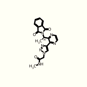 CNC(=O)Cn1cc(-c2nccnc2[C@@H](C)N2C(=O)c3ccccc3C2=O)nn1